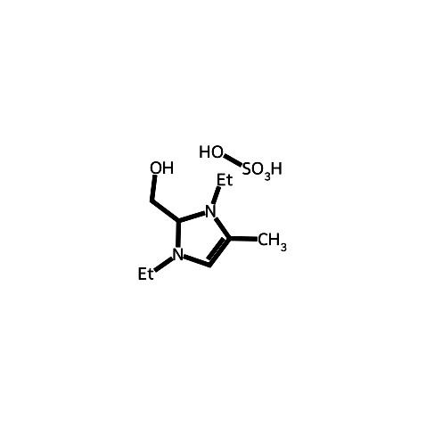 CCN1C=C(C)N(CC)C1CO.O=S(=O)(O)O